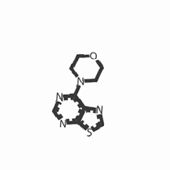 c1nc(N2CCOCC2)c2ncsc2n1